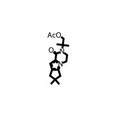 CC(=O)OCC(C)(C)N1CCn2c(cc3c2CC(C)(C)C3)C1=O